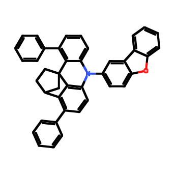 c1ccc(-c2ccc3c4c2C2CCC4(C2)c2c(-c4ccccc4)cccc2N3c2ccc3oc4ccccc4c3c2)cc1